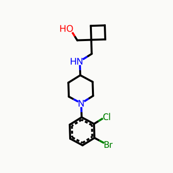 OCC1(CNC2CCN(c3cccc(Br)c3Cl)CC2)CCC1